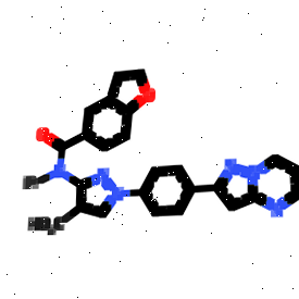 CC(C)N(C(=O)c1ccc2occc2c1)c1nn(-c2ccc(-c3cc4ncccn4n3)cc2)cc1C(=O)O